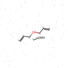 C=CCOCC=C.COC